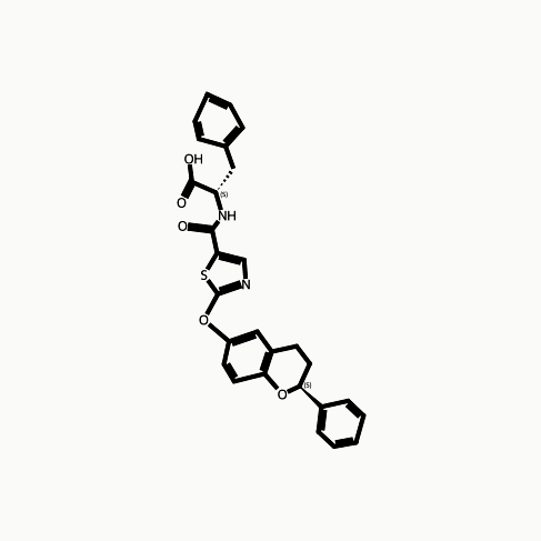 O=C(N[C@@H](Cc1ccccc1)C(=O)O)c1cnc(Oc2ccc3c(c2)CC[C@@H](c2ccccc2)O3)s1